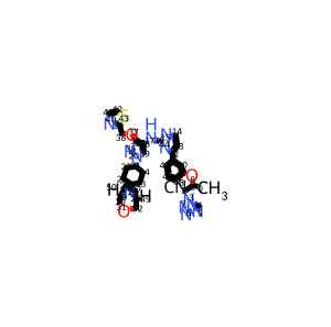 CC(Cn1cnnn1)Oc1cc(-c2ccnc(Nc3cn(C4CCC(N5[C@@H]6CC[C@H]5COC6)CC4)nc3OCc3nccs3)n2)ccc1C#N